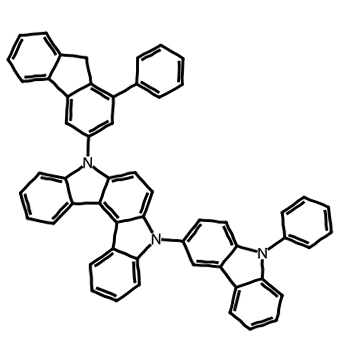 c1ccc(-c2cc(-n3c4ccccc4c4c5c6ccccc6n(-c6ccc7c(c6)c6ccccc6n7-c6ccccc6)c5ccc43)cc3c2Cc2ccccc2-3)cc1